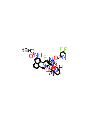 C#Cc1cccc2cc(NC(=O)OC(C)(C)C)cc(-c3nc4c5c(nc(OC[C@@H]6CC(F)(F)CN6C)nc5c3F)N3C[C@H]5CC[C@@H]([C@H]3[C@H](C)O4)N5C(=O)OC(C)(C)C)c12